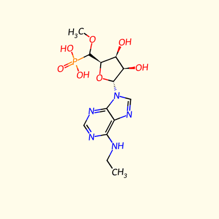 CCNc1ncnc2c1ncn2[C@@H]1O[C@@H](C(OC)P(=O)(O)O)[C@@H](O)[C@H]1O